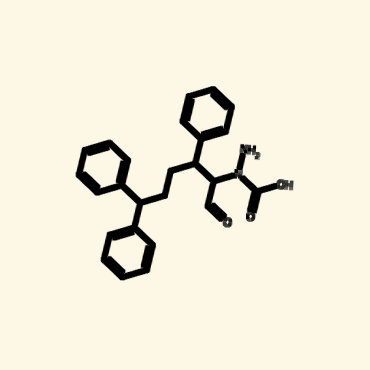 NN(C(=O)O)C(C=O)C(CCC(c1ccccc1)c1ccccc1)c1ccccc1